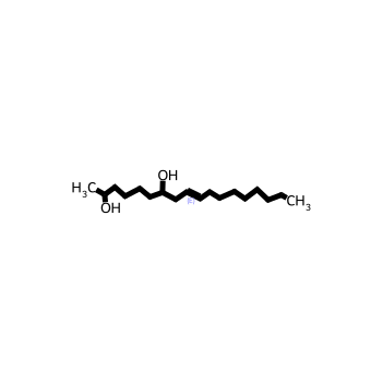 CCCCCCCC/C=C/CC(O)CCCCC(C)O